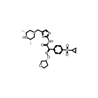 C[C@@H]1CN(Cc2cnc(NC(=O)/C(=N/O[C@@H]3CCOC3)c3ccc(S(=O)(=O)C4CC4)cc3)s2)C[C@H](C)N1